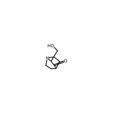 O=C1C2CCN(CC2)C1CO